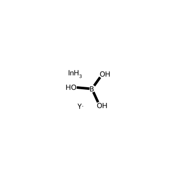 OB(O)O.[InH3].[Y]